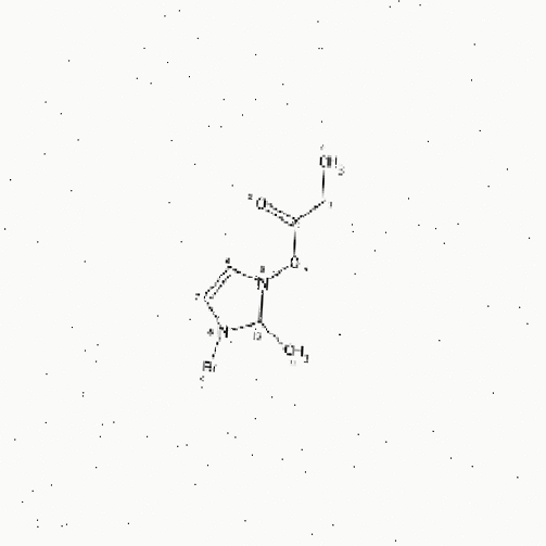 CCC(=O)ON1C=CN(Br)C1C